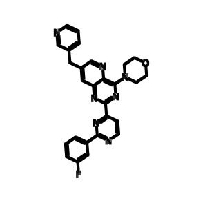 Fc1cccc(-c2nccc(-c3nc(N4CCOCC4)c4ncc(Cc5cccnc5)cc4n3)n2)c1